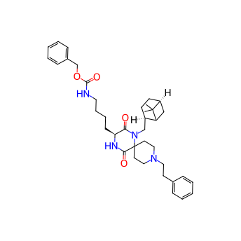 CC1(C)C2C[C@@H]1CC[C@@H]2CN1C(=O)[C@H](CCCCNC(=O)OCc2ccccc2)NC(=O)C12CCN(CCc1ccccc1)CC2